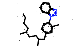 CCCCC(C)CCC(C)Cc1ccc(-n2nnc3ccccc32)c(C)c1